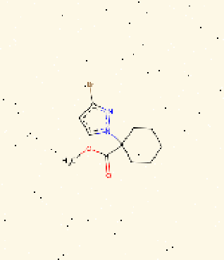 COC(=O)C1(n2ccc(Br)n2)CCCCC1